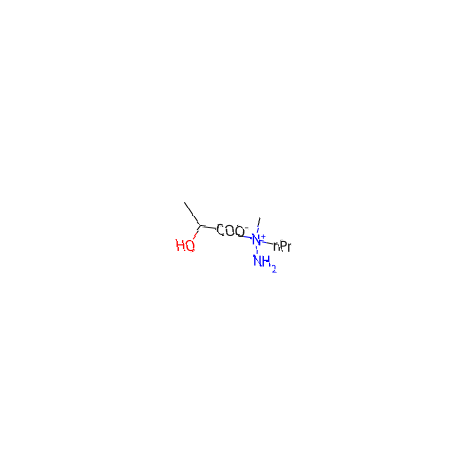 CC(O)C(=O)[O-].CCC[N+](C)(C)N